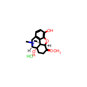 CN1CC[C@]23c4c5ccc(O)c4O[C@H]2C(=O)CC[C@@]3(O)[C@H]1C5.Cl.O